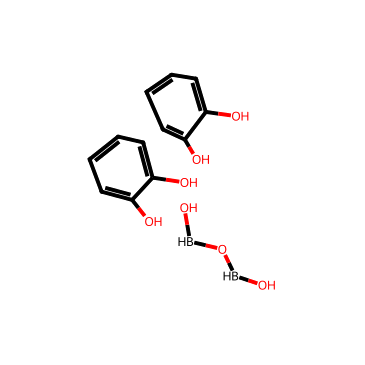 OBOBO.Oc1ccccc1O.Oc1ccccc1O